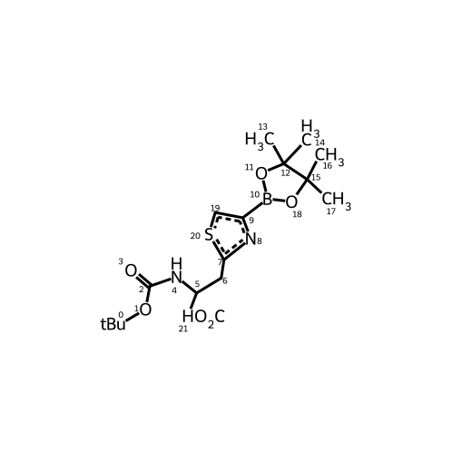 CC(C)(C)OC(=O)NC(Cc1nc(B2OC(C)(C)C(C)(C)O2)cs1)C(=O)O